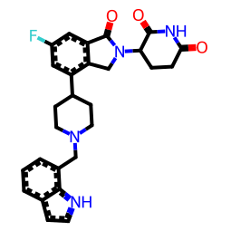 O=C1CCC(N2Cc3c(cc(F)cc3C3CCN(Cc4cccc5cc[nH]c45)CC3)C2=O)C(=O)N1